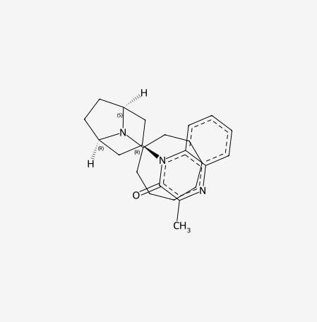 Cc1nc2ccccc2n([C@H]2C[C@H]3CC[C@@H](C2)N3C2CCCCCCC2)c1=O